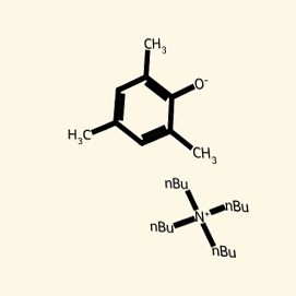 CCCC[N+](CCCC)(CCCC)CCCC.Cc1cc(C)c([O-])c(C)c1